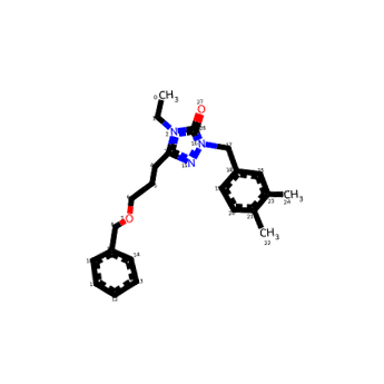 CCn1c(CCCOCc2ccccc2)nn(Cc2ccc(C)c(C)c2)c1=O